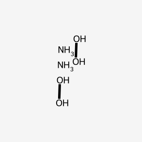 N.N.OO.OO